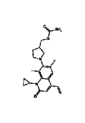 C=Cc1cc(=O)n(C2CC2)c2c(C)c(N3CCC(COC(N)=O)C3)c(F)cc12